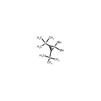 CC(C)(C)[Si]1(C(C)(C)C)C([Si](C)(C)C)=C1[Si](C)(C)C